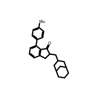 CC(C)(C)c1ccc(-c2cccc3c2C(=O)C(CC2CC4CCCC(C4)C2)C3)cc1